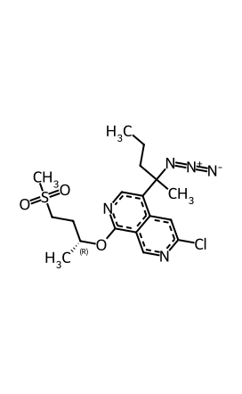 CCCC(C)(N=[N+]=[N-])c1cnc(O[C@H](C)CCS(C)(=O)=O)c2cnc(Cl)cc12